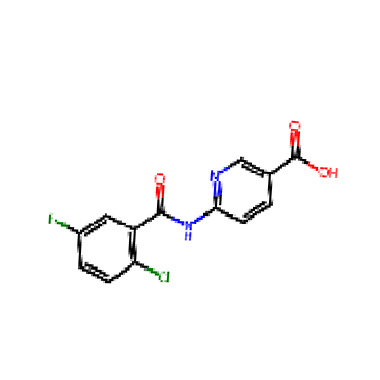 O=C(O)c1ccc(NC(=O)c2cc(F)ccc2Cl)nc1